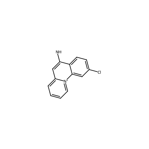 [NH]c1cc2cccc[n+]2c2cc(Cl)ccc12